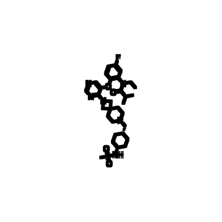 CCN(C(=O)C(C)C)c1cc(F)ccc1Oc1cncnc1N1CC2(CCN(C[C@H]3CC[C@H](NS(C)(=O)=O)CC3)CC2)C1